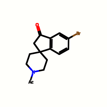 CC(=O)N1CCC2(CC1)CC(=O)c1cc(Br)ccc12